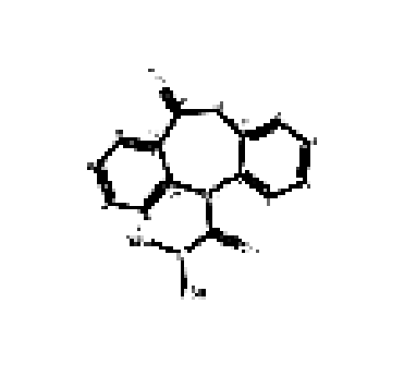 CCCCN(CCCC)C(=O)N1c2ccccc2CC(=O)c2ccccc21